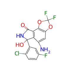 Nc1cc2c(c3c1C(O)(c1cc(F)ccc1Cl)NC3=O)OC(F)(F)O2